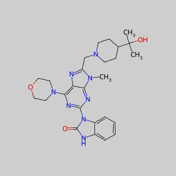 Cn1c(CN2CCC(C(C)(C)O)CC2)nc2c(N3CCOCC3)nc(-n3c(=O)[nH]c4ccccc43)nc21